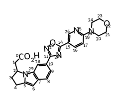 O=C(O)CC1CCc2cc3ccc(-c4noc(-c5ccc(N6CCOCC6)nc5)n4)cc3n21